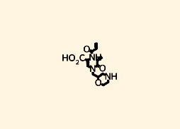 C=CC(=O)NC(=CN(CC1CNCCO1)C(=O)C=C)C(=O)O